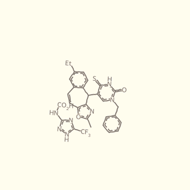 CCc1ccc2c(c1)C=Cc1oc(C)nc1C2c1cn(Cc2ccccc2)c(=O)[nH]c1=S.O=C(O)Nc1n[nH]c(C(F)(F)F)n1